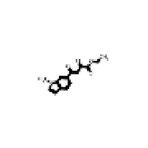 CCOC(=O)C(=O)CC(=O)c1ccc2ccn(C)c2c1